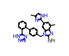 CCCc1nc2c(C)cc(-c3nc(C)c[nH]3)cc2n1Cc1ccc(-c2ccccc2-c2nnn[nH]2)cc1